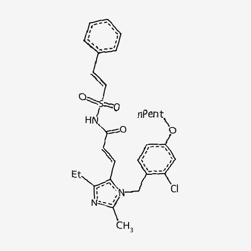 CCCCCOc1ccc(Cn2c(C)nc(CC)c2/C=C/C(=O)NS(=O)(=O)/C=C/c2ccccc2)c(Cl)c1